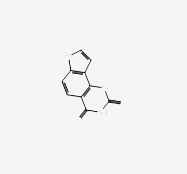 O=c1[nH]c(=S)[nH]c2c1ccc1[nH]ccc12